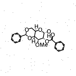 CO[C@@H]1[C@@H](OC(=O)c2ccccc2)[C@@H](O)O[C@@H]2COC(c3ccccc3)O[C@@H]12